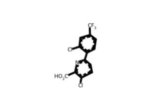 O=C(O)c1nc(-c2ccc(C(F)(F)F)cc2Cl)ccc1Cl